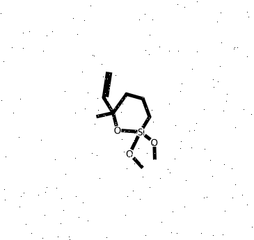 C=CC1(C)CCC[Si](OC)(OC)O1